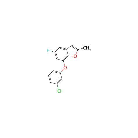 Cc1cc2cc(F)cc(Oc3cccc(Cl)c3)c2o1